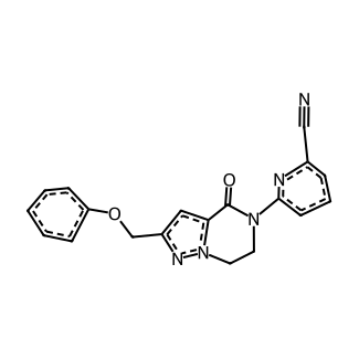 N#Cc1cccc(N2CCn3nc(COc4ccccc4)cc3C2=O)n1